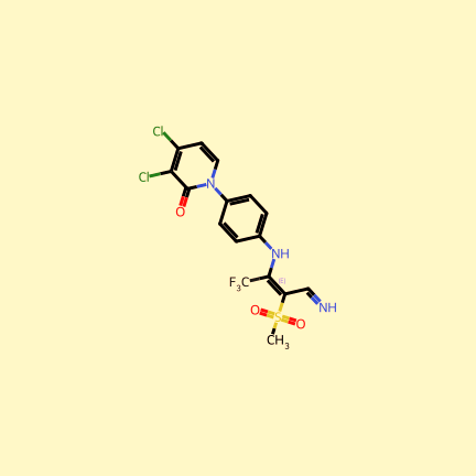 CS(=O)(=O)/C(C=N)=C(/Nc1ccc(-n2ccc(Cl)c(Cl)c2=O)cc1)C(F)(F)F